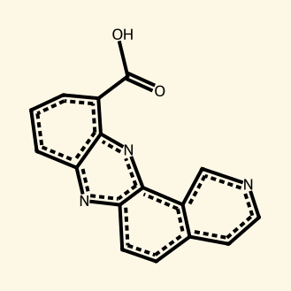 O=C(O)c1cccc2nc3ccc4ccncc4c3nc12